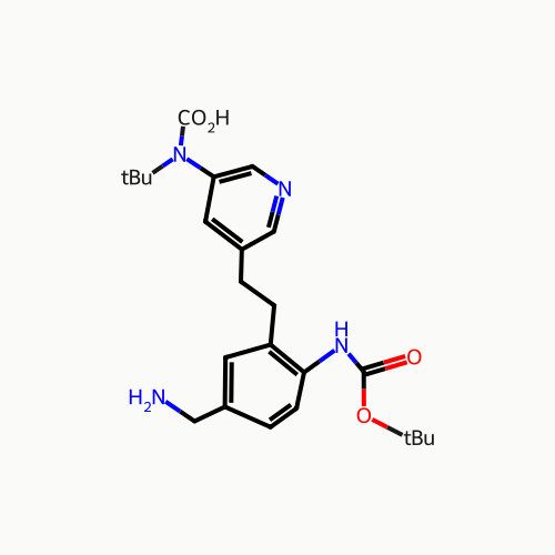 CC(C)(C)OC(=O)Nc1ccc(CN)cc1CCc1cncc(N(C(=O)O)C(C)(C)C)c1